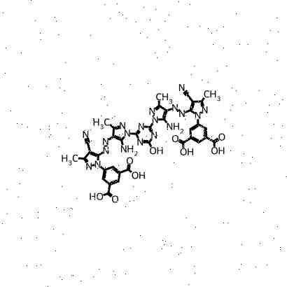 Cc1nn(-c2cc(C(=O)O)cc(C(=O)O)c2)c(N=Nc2c(C)nn(-c3nc(O)nc(-n4nc(C)c(N=Nc5c(C#N)c(C)nn5-c5cc(C(=O)O)cc(C(=O)O)c5)c4N)n3)c2N)c1C#N